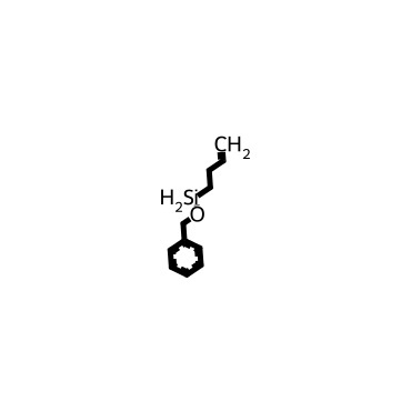 C=CCC[SiH2]OCc1ccccc1